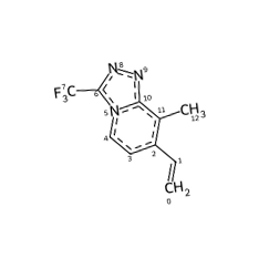 C=Cc1ccn2c(C(F)(F)F)nnc2c1C